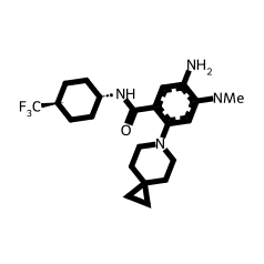 CNc1cc(N2CCC3(CC2)CC3)c(C(=O)N[C@H]2CC[C@H](C(F)(F)F)CC2)cc1N